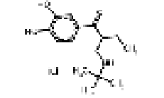 CCC(CNC(C)(C)C)C(=O)c1ccc(O)c(O)c1.Cl